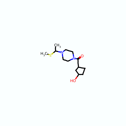 CSC(C)N1CCN(C(=O)C2CCC(O)C2)CC1